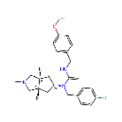 C=C(NCc1ccc(OC(C)C)cc1)N(Cc1ccc(F)cc1)[C@@H]1C[C@@H]2CN(C)C[C@@H]2C1